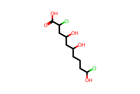 O=C(O)C(Cl)CC(O)CC(O)CCCC(O)Cl